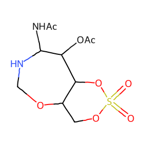 CC(=O)NC1NCOC2COS(=O)(=O)OC2C1OC(C)=O